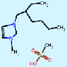 CCCCC(CC)CN1C=CN(C)C1.CS(=O)(=O)O